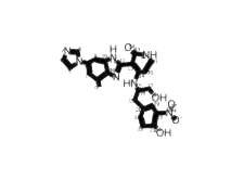 Cc1cc(-n2ccnc2)cc2[nH]c(-c3c(NC(CO)Cc4ccc(O)c([N+](=O)[O-])c4)cc[nH]c3=O)nc12